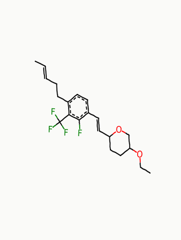 C/C=C/CCc1ccc(/C=C/C2CCC(OCC)CO2)c(F)c1C(F)(F)F